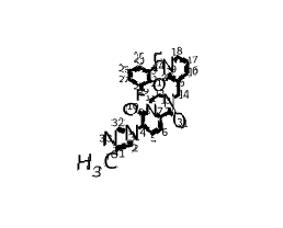 Cc1cn(-c2ccc3n(c2=O)CCN(Cc2cccnc2Oc2c(F)cccc2F)C3=O)cn1